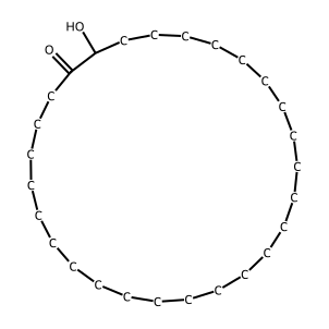 O=C1CCCCCCCCCCCCCCCCCCCCCCCCCC1O